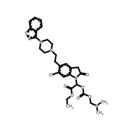 CCOC(=O)C(OC(=O)OCN(C)C)N1C(=O)Cc2cc(CCN3CCN(c4nsc5ccccc45)CC3)c(Cl)cc21